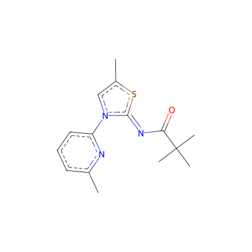 Cc1cccc(-n2cc(C)sc2=NC(=O)C(C)(C)C)n1